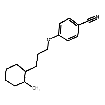 CC1CCCCC1CCCOc1ccc(C#N)cc1